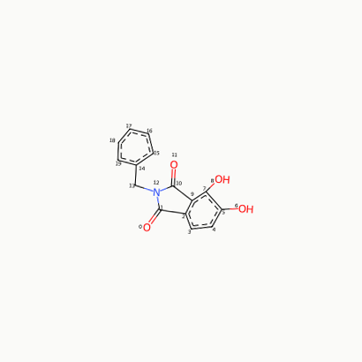 O=C1c2ccc(O)c(O)c2C(=O)N1Cc1ccccc1